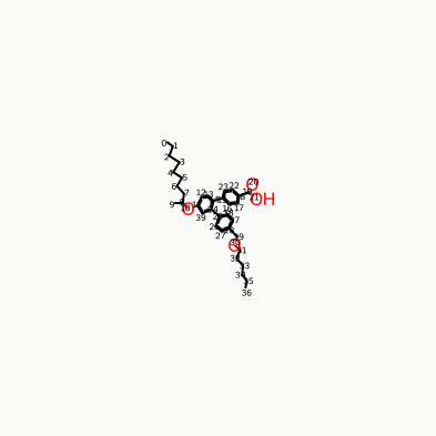 CCCCCCCCC(C)Oc1ccc(-c2ccc(C(=O)O)cc2)c(-c2ccc(COCCCCCC)cc2)c1